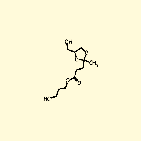 CC1(CCC(=O)OCCCO)OCC(CO)O1